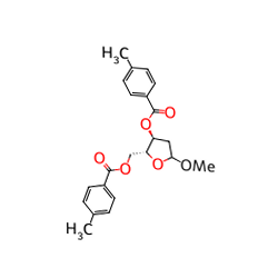 COC1C[C@H](OC(=O)c2ccc(C)cc2)[C@@H](COC(=O)c2ccc(C)cc2)O1